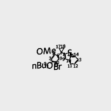 CCCCOc1cc(OC)c(C2(c3cc4ccccc4s3)CC2)cc1Br